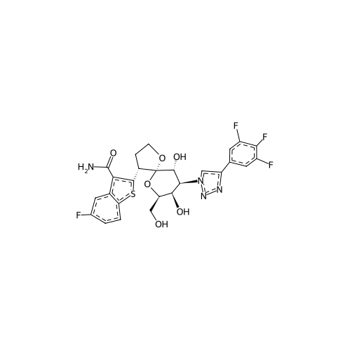 NC(=O)c1c([C@@H]2CCO[C@]23O[C@H](CO)[C@H](O)[C@H](n2cc(-c4cc(F)c(F)c(F)c4)nn2)[C@H]3O)sc2ccc(F)cc12